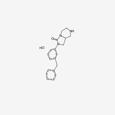 Cl.O=C1N(c2cccc(Cc3ccccc3)c2)CC2CNCCN12